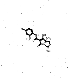 Cc1cc(Cl)ccc1NC(=O)C1=C(O)[C@@]2(C)CO[C@H](C(C)(C)C)N2C1=O